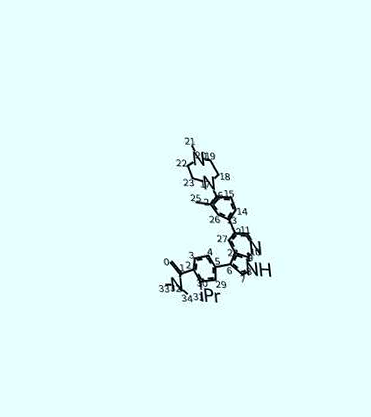 C=C(c1ccc(-c2c[nH]c3ncc(-c4ccc(N5CCN(C)CC5)c(C)c4)cc23)cc1C(C)C)N(C)C